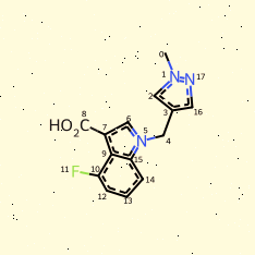 Cn1cc(Cn2cc(C(=O)O)c3c(F)cccc32)cn1